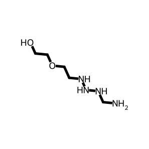 NCNNNCCOCCO